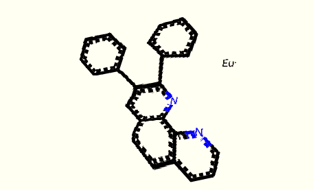 [Eu].c1ccc(-c2cc3ccc4cccnc4c3nc2-c2ccccc2)cc1